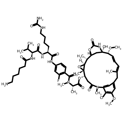 COc1cc2cc(c1Cl)N(C)C(=O)C[C@H](OC(=O)[C@H](C)N(C)C(=O)c1ccc(NC(=O)[C@H](CCCCNC(N)=O)NC(=O)[C@@H](NC(=O)CCCCCN)C(C)C)cc1F)[C@]1(C)O[C@H]1[C@H](C)[C@@H]1C[C@@](O)(NC(=O)O1)[C@H](OC)/C=C/C=C(\C)C2